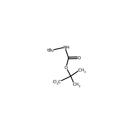 CC(C)(C)NC(=O)OC(C)(C)C(Cl)(Cl)Cl